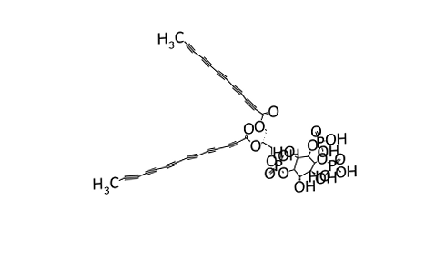 CC#CC#CC#CC#CC#CC#CC(=O)O[C@H](COC(=O)C#CC#CC#CC#CC#CC)COP(=O)(O)OC1C(O)[C@@H](OP(=O)(O)O)C(OP(=O)(O)O)[C@@H](O)[C@H]1O